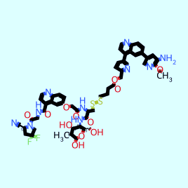 COc1ncc(-c2ccc3nccc(-c4ccc(COC(=O)CCCSSCC(NC(=O)COc5ccc6nccc(C(=O)NCC(=O)N7CC(F)(F)C[C@H]7C#N)c6c5)C(=O)N[C@@H]5[C@@H](O)[C@H](C)C(O)O[C@H]5CO)nc4)c3c2)cc1N